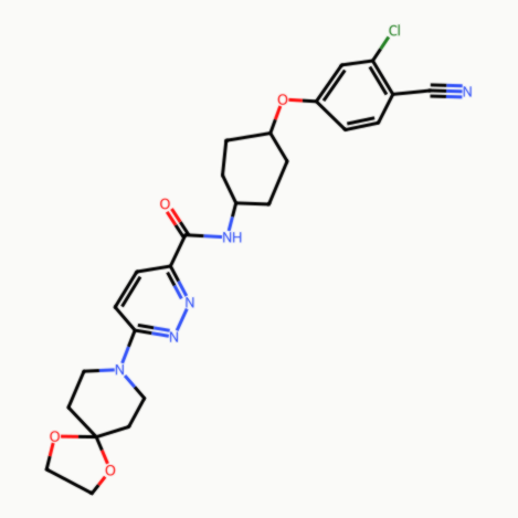 N#Cc1ccc(OC2CCC(NC(=O)c3ccc(N4CCC5(CC4)OCCO5)nn3)CC2)cc1Cl